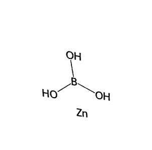 OB(O)O.[Zn]